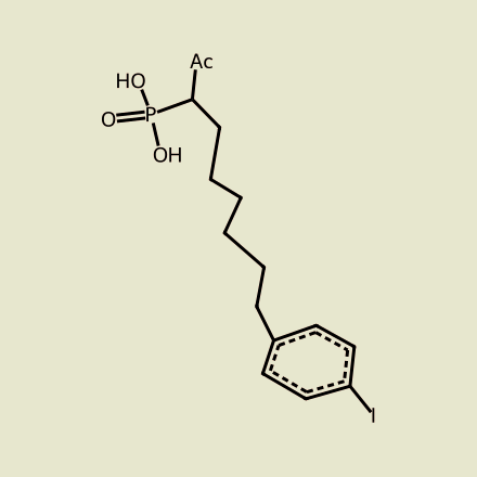 CC(=O)C(CCCCCCc1ccc(I)cc1)P(=O)(O)O